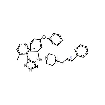 Cc1cccc(C)c1-n1nnnc1[C@H](C1C=C(Oc2ccccc2)C=CC1)N1CCN(C/C=C/c2ccccc2)CC1